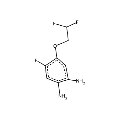 Nc1cc(F)c(OCC(F)F)cc1N